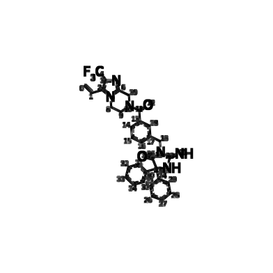 C=Cc1c(C(F)(F)F)nc2n1CCN(C(=O)c1cccc(CN3C(=N)NC(c4ccccc4)(c4ccccc4)C3=O)c1)C2